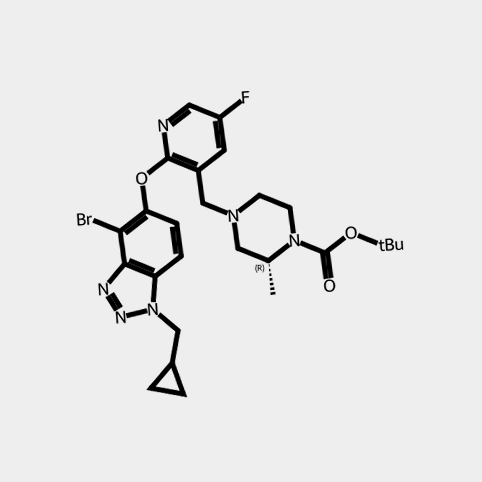 C[C@@H]1CN(Cc2cc(F)cnc2Oc2ccc3c(nnn3CC3CC3)c2Br)CCN1C(=O)OC(C)(C)C